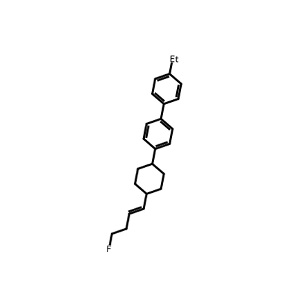 CCc1ccc(-c2ccc(C3CCC(/C=C/CCF)CC3)cc2)cc1